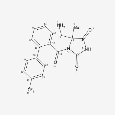 CCC(C)C1(CN)C(=O)NC(=O)N1C(=O)c1ccccc1-c1ccc(C(F)(F)F)cc1